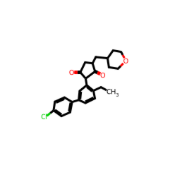 CCc1ccc(-c2ccc(Cl)cc2)cc1C1C(=O)CC(CC2CCOCC2)C1=O